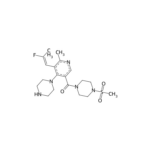 C/C(F)=C\c1c(C)ncc(C(=O)N2CCN(S(C)(=O)=O)CC2)c1N1CCNCC1